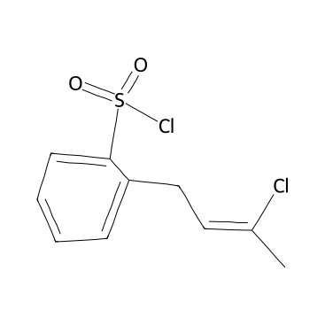 CC(Cl)=CCc1ccccc1S(=O)(=O)Cl